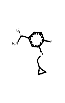 C[C@@H](N)c1ccc(F)c(OCC2CC2)c1